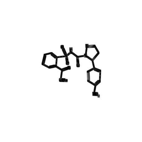 COC(=O)c1ccccc1S(=O)(=O)NC(=O)N1N=CCC1c1ccc([N+](=O)[O-])cc1